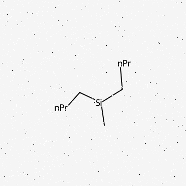 CCCC[Si](C)CCCC